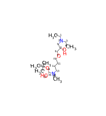 CCN(CC)CC(O)COCCCCN(C)C(O)OC(C)(C)C